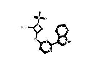 CS(=O)(=O)N1CC(Nc2ccnc(-c3c[nH]c4ncccc34)n2)C1C(=O)O